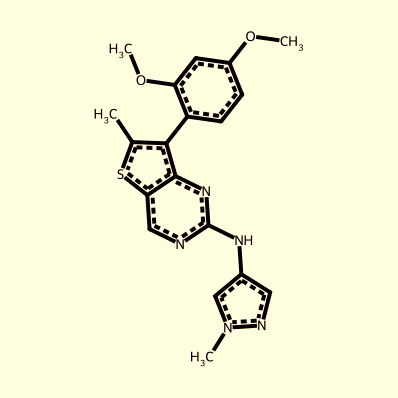 COc1ccc(-c2c(C)sc3cnc(Nc4cnn(C)c4)nc23)c(OC)c1